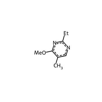 CCc1ncc(C)c(OC)n1